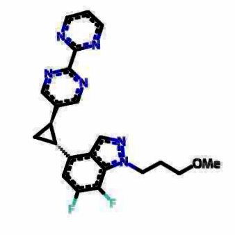 COCCCn1ncc2c([C@@H]3C[C@H]3c3cnc(-c4ncccn4)nc3)cc(F)c(F)c21